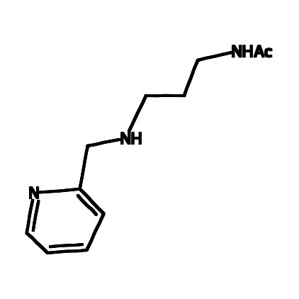 CC(=O)NCCCNCc1ccccn1